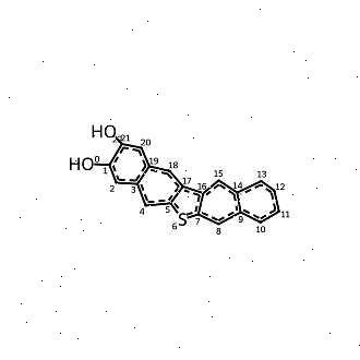 Oc1cc2cc3sc4cc5ccccc5cc4c3cc2cc1O